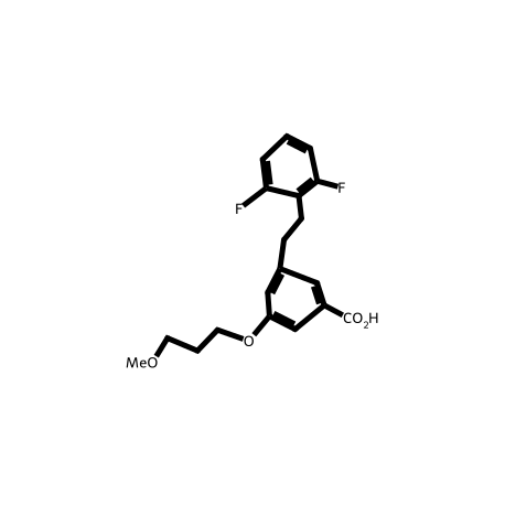 COCCCOc1cc(CCc2c(F)cccc2F)cc(C(=O)O)c1